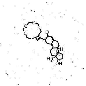 C[C@]12CCC3=C4CC(C5=CC6CCCCCCCCCCC56)C(=O)C=C4CC[C@H]3[C@@H]1CC[C@H]2O